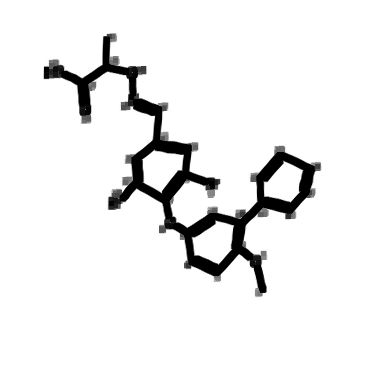 COc1ccc(Oc2c(Br)cc(/C=N/OC(C)C(=O)O)cc2Br)cc1-c1ccccc1